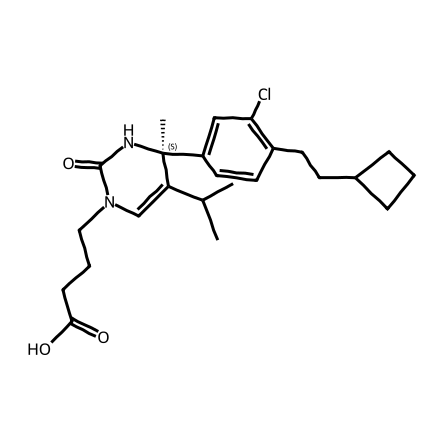 CC(C)C1=CN(CCCC(=O)O)C(=O)N[C@@]1(C)c1ccc(CCC2CCC2)c(Cl)c1